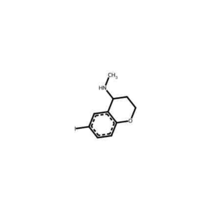 CNC1CCOc2ccc(I)cc21